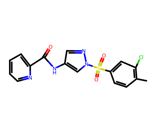 Cc1ccc(S(=O)(=O)n2cc(NC(=O)c3ccccn3)cn2)cc1Cl